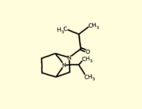 CC(C)C(=O)N1CC2CCC1N2C(C)C